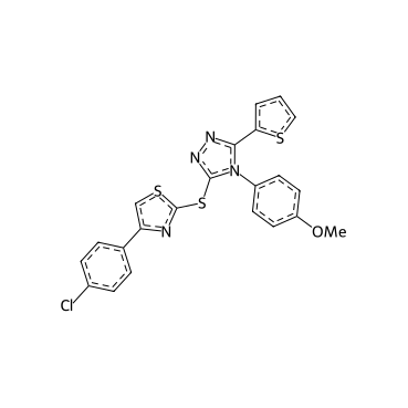 COc1ccc(-n2c(Sc3nc(-c4ccc(Cl)cc4)cs3)nnc2-c2cccs2)cc1